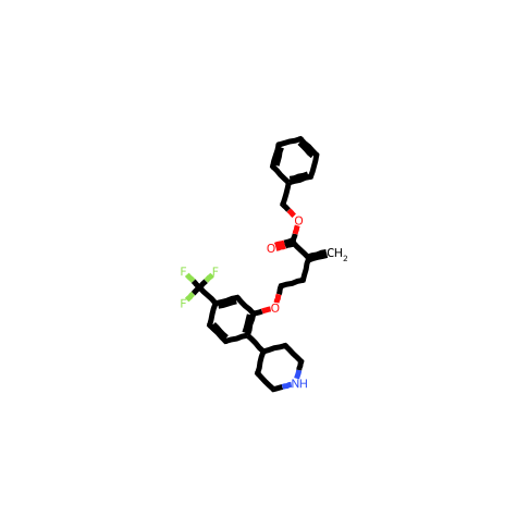 C=C(CCOc1cc(C(F)(F)F)ccc1C1CCNCC1)C(=O)OCc1ccccc1